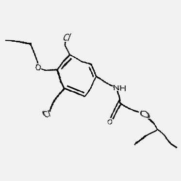 CCOc1c(Cl)cc(NC(=O)OC(C)C)cc1Cl